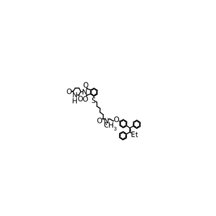 CCC(=C(c1ccccc1)c1ccc(OCCN(C)C(=O)CCCCCSc2cccc3c2C(=O)N(C2CCC(=O)NC2=O)C3=O)cc1)c1ccccc1